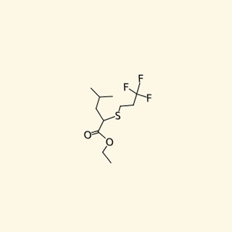 CCOC(=O)C(CC(C)C)SCCC(F)(F)F